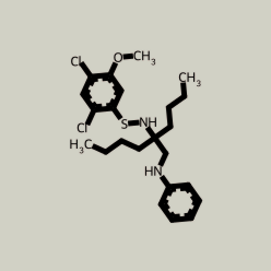 CCCCC(CCCC)(CNc1ccccc1)NSc1cc(OC)c(Cl)cc1Cl